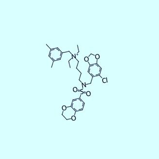 CC[N+](CC)(CCCCN(Cc1cc2c(cc1Cl)OCO2)S(=O)(=O)c1ccc2c(c1)OCCO2)Cc1cc(C)cc(C)c1